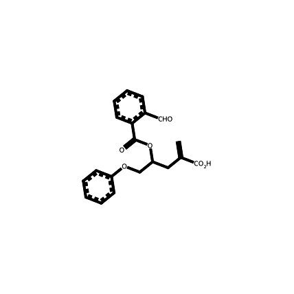 C=C(CC(COc1ccccc1)OC(=O)c1ccccc1C=O)C(=O)O